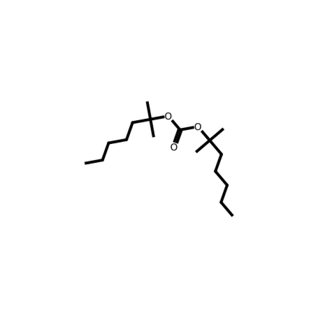 CCCCCC(C)(C)OC(=O)OC(C)(C)CCCCC